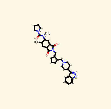 CC1CC2C(=O)N(CC3CCC[C@@H]3CN3CCC(c4n[nH]c5ccccc45)CC3)C(=O)C2CC1N(C)C(=O)N1CCCC1